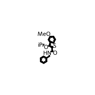 COc1ccc2sc(C(=O)NCc3ccccc3)c(OC(C)C)c2c1